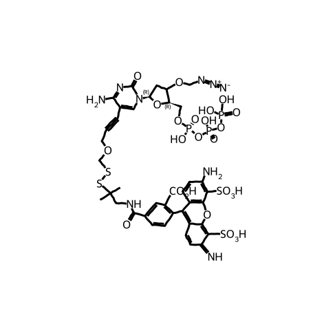 CC(C)(CNC(=O)c1ccc(-c2c3ccc(=N)c(S(=O)(=O)O)c-3oc3c(S(=O)(=O)O)c(N)ccc23)c(C(=O)O)c1)SSCOCC#Cc1cn([C@H]2CC(OCN=[N+]=[N-])[C@@H](COP(=O)(O)OP(=O)(O)OP(=O)(O)O)O2)c(=O)nc1N